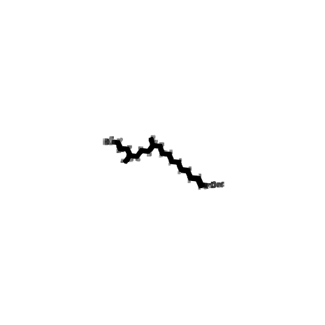 CCCCCCCCCCCCCCCCCCCCC(C)CCCC(C)CCCC(C)CC